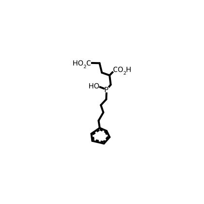 O=C(O)CCC(CP(O)CCCCc1ccccc1)C(=O)O